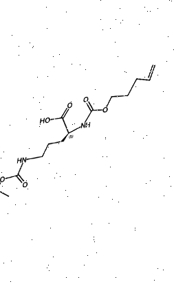 C=CCCCOC(=O)N[C@@H](CCCNC(=O)OC(C)(C)C)C(=O)O